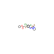 O=C(CSc1cc(N=c2sc(=S)n3n2CCCC3)c(F)cc1Cl)OC1CCCC1